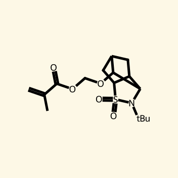 C=C(C)C(=O)OCOC1C2CC3C1N(C(C)(C)C)S(=O)(=O)C3C2